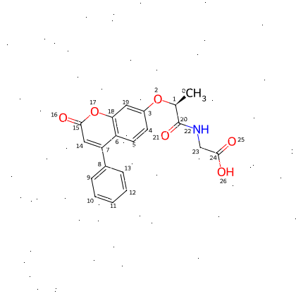 C[C@H](Oc1ccc2c(-c3ccccc3)cc(=O)oc2c1)C(=O)NCC(=O)O